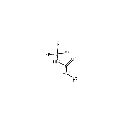 CCNC(=O)NC(F)(F)F